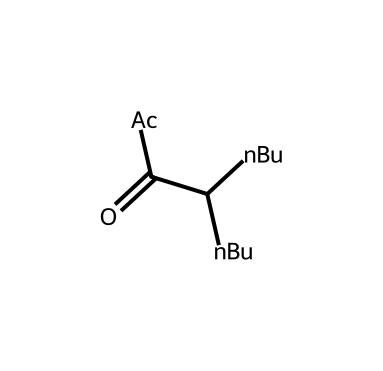 CCCCC(CCCC)C(=O)C(C)=O